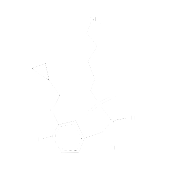 C[C@H](c1ccc(F)c(OCC2CC2)c1)N(C)S(=O)(=O)CCCCCN